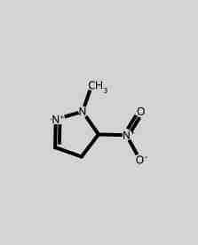 CN1[N+]=CCC1[N+](=O)[O-]